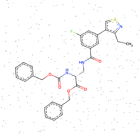 CCc1nscc1-c1cc(F)cc(C(=O)NC[C@@H](NC(=O)OCc2ccccc2)C(=O)OCc2ccccc2)c1